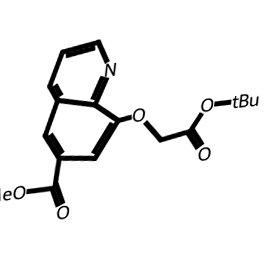 COC(=O)c1cc(OCC(=O)OC(C)(C)C)c2ncccc2c1